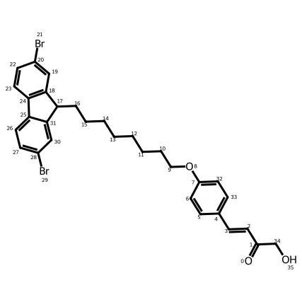 O=C(/C=C/c1ccc(OCCCCCCCCC2c3cc(Br)ccc3-c3ccc(Br)cc32)cc1)CO